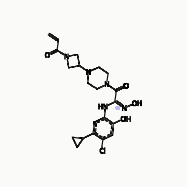 C=CC(=O)N1CC(N2CCN(C(=O)/C(=N\O)Nc3cc(C4CC4)c(Cl)cc3O)CC2)C1